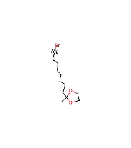 CC1(CCCCCC[CH2][Mg][Br])OCCO1